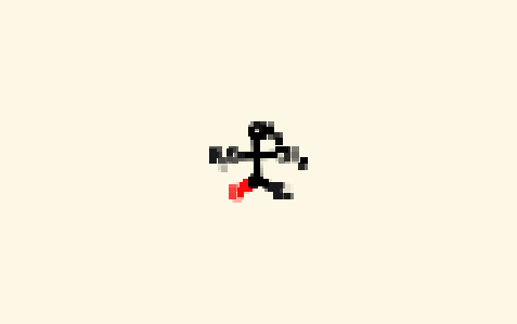 CCC(=O)C(C)(C)C(F)(F)F